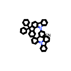 N#Cc1cc(-c2ccccc2-n2c3ccccc3c3ccccc32)cc(-n2c3ccccc3c3ccc4c(c32)-c2ccccc2C4(c2ccccc2)c2ccccc2)c1